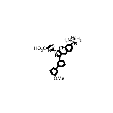 COc1cccc(-c2cccc(-c3nn(-c4nc(C(=O)O)cs4)c(C(F)(F)F)c3Cc3ccc([SH](C)(N)=O)cc3)c2)c1